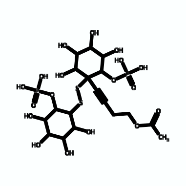 CC(=O)OCCC#CC1(SSC2C(O)C(O)C(O)C(O)C2OP(=O)(O)O)C(O)C(O)C(O)C(O)C1OP(=O)(O)O